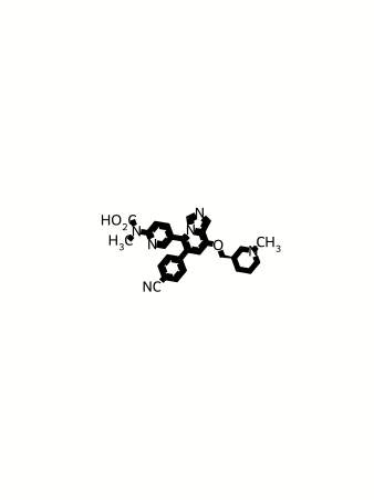 CN1CCC[C@@H](COc2cc(-c3ccc(C#N)cc3)c(-c3ccc(N(C)C(=O)O)nc3)n3cncc23)C1